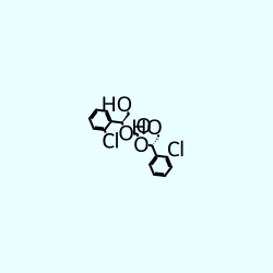 O=C(O[C@H](CO)c1ccccc1Cl)O[C@H](CO)c1ccccc1Cl